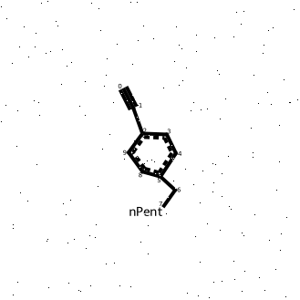 C#Cc1ccc(CCCCCC)cc1